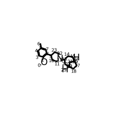 COc1ccc(C)cc1C1CCN(C2CC[C@H]3CC[C@H](C2)C3)CC1